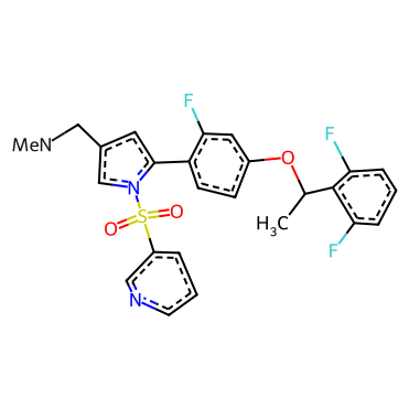 CNCc1cc(-c2ccc(OC(C)c3c(F)cccc3F)cc2F)n(S(=O)(=O)c2cccnc2)c1